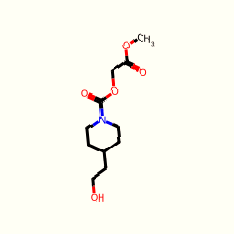 COC(=O)COC(=O)N1CCC(CCO)CC1